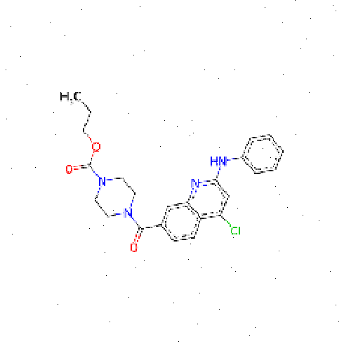 CCCOC(=O)N1CCN(C(=O)c2ccc3c(Cl)cc(Nc4ccccc4)nc3c2)CC1